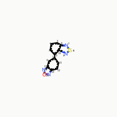 [c]1c(-c2cccc3nsnc23)ccc2nonc12